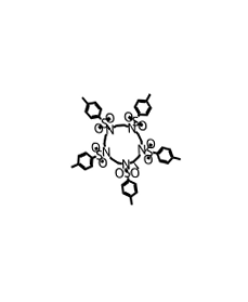 Cc1ccc(S(=O)(=O)N2CCN(S(=O)(=O)c3ccc(C)cc3)CCN(S(=O)(=O)c3ccc(C)cc3)C[C@@H](C)N(S(=O)(=O)c3ccc(C)cc3)CCN(S(=O)(=O)c3ccc(C)cc3)CC2)cc1